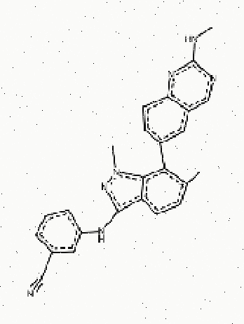 CNc1ncc2cc(-c3c(C)ccc4c(Nc5cccc(C#N)c5)nn(C)c34)ccc2n1